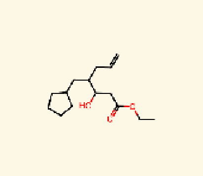 C=CCC(CC1CCCC1)C(O)CC(=O)OCC